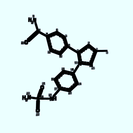 Cc1cc(-c2ccc(C(N)=O)cc2)n(-c2ccc(NS(N)(=O)=O)cc2)n1